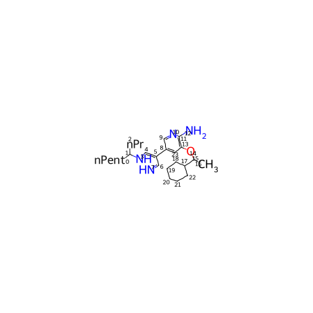 CCCCCC(CCC)N/C=C(\C=N)c1cnc(N)c(OC(C)C2CCCCC2)c1